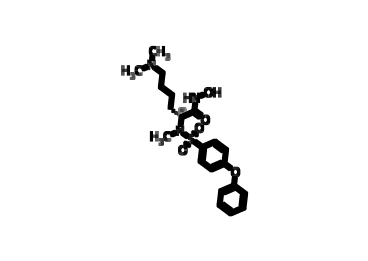 CN(C)CCCC[C@H](C(=O)NO)N(C)S(=O)(=O)c1ccc(Oc2ccccc2)cc1